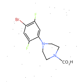 O=C(O)N1CCN(c2cc(F)c(Br)cc2F)CC1